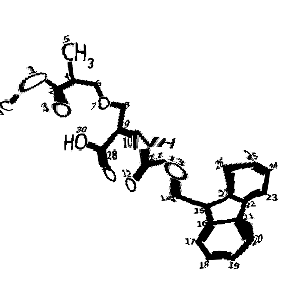 COC(=O)C(C)COCC(NC(=O)OCC1c2ccccc2-c2ccccc21)C(=O)O